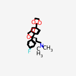 CN(C)CCC[C@@]1(c2ccc(F)cc2)OCC2CC3(C4OCCO4)C=CC21O3